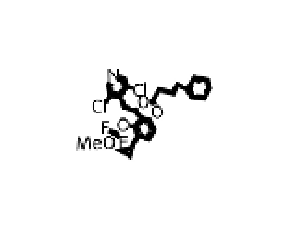 COC(F)(F)Oc1c(C2CC2)cccc1C(Cc1c(Cl)cncc1Cl)OC(=O)CCCc1ccccc1